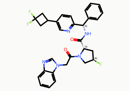 O=C(N[C@@H](c1ccccc1)c1ccc(C2CC(F)(F)C2)cn1)[C@@H]1C[C@@H](F)CN1C(=O)Cn1cnc2ccccc21